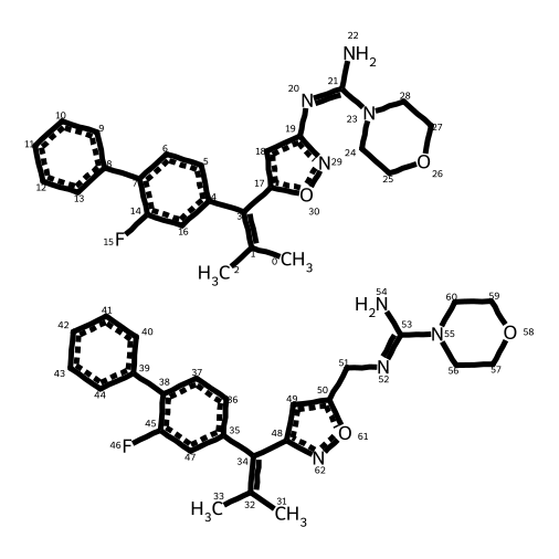 CC(C)=C(c1ccc(-c2ccccc2)c(F)c1)c1cc(/N=C(/N)N2CCOCC2)no1.CC(C)=C(c1ccc(-c2ccccc2)c(F)c1)c1cc(C/N=C(\N)N2CCOCC2)on1